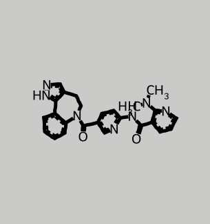 CN(C)c1ncccc1C(=O)Nc1ccc(C(=O)N2CCc3cn[nH]c3-c3ccccc32)cn1